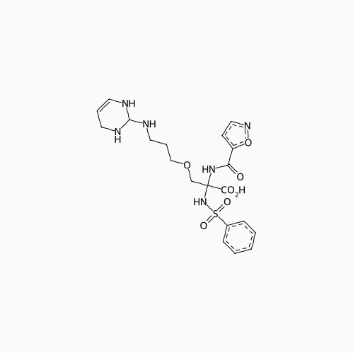 O=C(NC(COCCCNC1NC=CCN1)(NS(=O)(=O)c1ccccc1)C(=O)O)c1ccno1